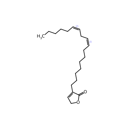 CCCCC/C=C\C/C=C\CCCCCCCC1=CCOC1=O